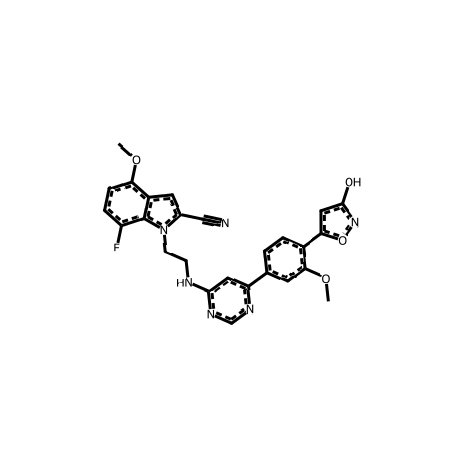 COc1cc(-c2cc(NCCn3c(C#N)cc4c(OC)ccc(F)c43)ncn2)ccc1-c1cc(O)no1